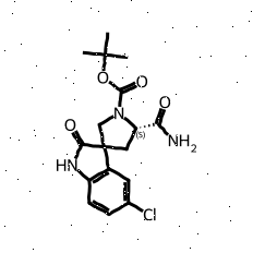 CC(C)(C)OC(=O)N1CC2(C[C@H]1C(N)=O)C(=O)Nc1ccc(Cl)cc12